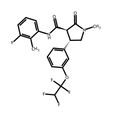 Cc1c(F)cccc1NC(=O)[C@H]1C(=O)N(C)C[C@@H]1c1cccc(OC(F)(F)C(F)F)c1